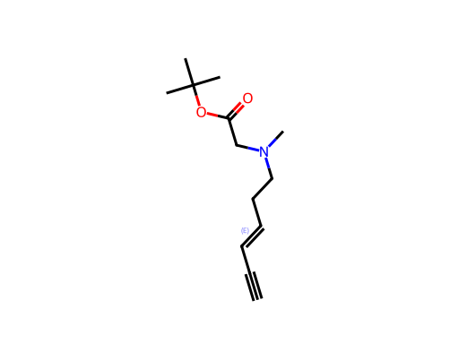 C#C/C=C/CCN(C)CC(=O)OC(C)(C)C